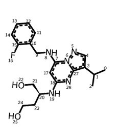 CC(C)c1cnn2c(NCc3ccccc3F)cc(N[C@H](CO)CCO)nc12